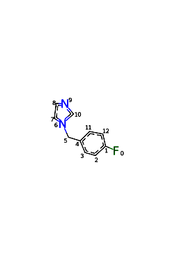 Fc1ccc(Cn2c[c]nc2)cc1